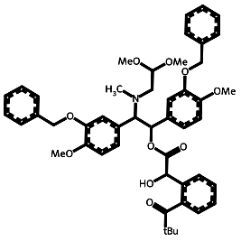 COc1ccc(C(OC(=O)C(O)c2ccccc2C(=O)C(C)(C)C)C(c2ccc(OC)c(OCc3ccccc3)c2)N(C)CC(OC)OC)cc1OCc1ccccc1